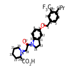 CC(C)c1ccc(COc2ccc3c(c2)CCN3C(=O)CN2CCCCC2C(=O)O)cc1C(F)(F)F